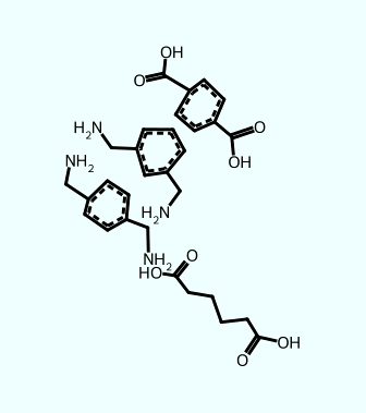 NCc1ccc(CN)cc1.NCc1cccc(CN)c1.O=C(O)CCCCC(=O)O.O=C(O)c1ccc(C(=O)O)cc1